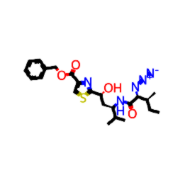 CC[C@H](C)[C@H](N=[N+]=[N-])C(=O)N[C@H](C[C@@H](O)c1nc(C(=O)OCc2ccccc2)cs1)C(C)C